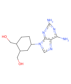 Nc1nc(N)c2ncn(C3CCC(CO)C(CO)C3)c2n1